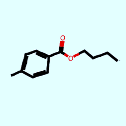 [CH2]CCCOC(=O)c1ccc(C)cc1